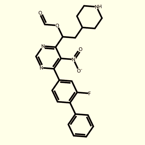 O=COC(CC1CCNCC1)c1ncnc(-c2ccc(-c3ccccc3)c(F)c2)c1[N+](=O)[O-]